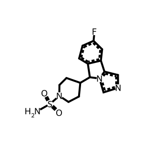 NS(=O)(=O)N1CCC(C2c3ccc(F)cc3-c3cncn32)CC1